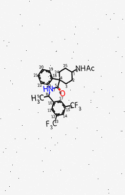 CC(=O)NC1CCC(C(=O)NC(C)c2cc(C(F)(F)F)cc(C(F)(F)F)c2)(c2ccccc2)CC1